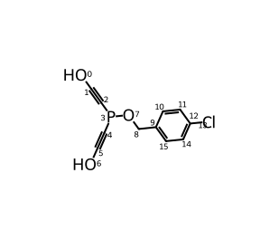 OC#CP(C#CO)OCc1ccc(Cl)cc1